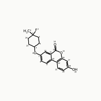 CC1(F)CCC(Oc2ccc3c(c2)c(=O)oc2cc(O)ccc23)CC1